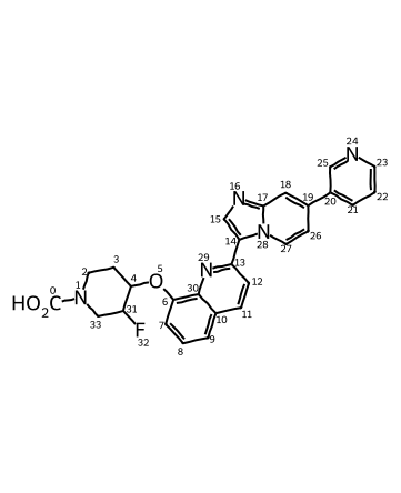 O=C(O)N1CCC(Oc2cccc3ccc(-c4cnc5cc(-c6cccnc6)ccn45)nc23)C(F)C1